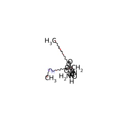 C=C1[C@H](COC(=O)CCCCCCCC=CCC=CCCCCC)[C@@H](OC(=O)CCCCCCC/C=C\C/C=C\CCCCC)C[C@@H]1n1cnc2c(=O)[nH]c(N)nc21